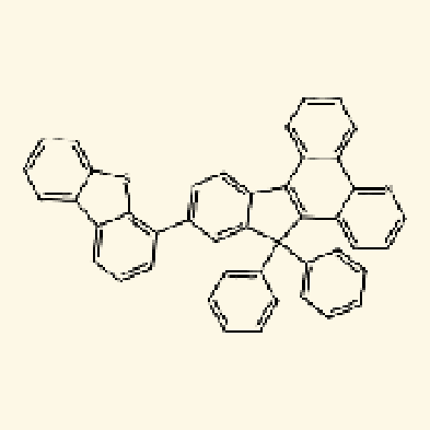 c1ccc(C2(c3ccccc3)c3cc(-c4cccc5c4sc4ccccc45)ccc3-c3c2c2cccnc2c2ccccc32)cc1